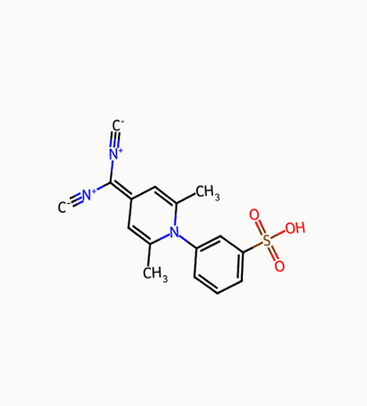 [C-]#[N+]C([N+]#[C-])=C1C=C(C)N(c2cccc(S(=O)(=O)O)c2)C(C)=C1